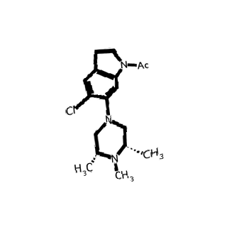 CC(=O)N1CCc2cc(Cl)c(N3C[C@@H](C)N(C)[C@@H](C)C3)cc21